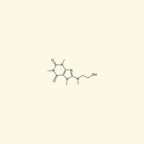 CN(CCO)c1nc2c(c(=O)n(C)c(=O)n2C)n1C